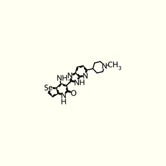 CN1CCC(c2ccc3nc(-c4c(N)c5[se]ccc5[nH]c4=O)[nH]c3n2)CC1